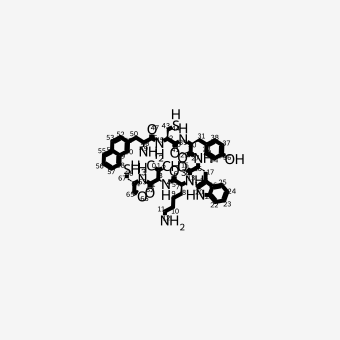 CC(C)[C@H](NC(=O)[C@H](CCCCN)NC(=O)[C@@H](Cc1c[nH]c2ccccc12)NC(=O)[C@H](Cc1ccc(O)cc1)NC(=O)[C@H](CS)NC(=O)[C@H](N)Cc1ccc2ccccc2c1)C(=O)N[C@H]([C]=O)CS